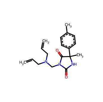 C=CCN(CC=C)CN1C(=O)NC(C)(c2ccc(C)cc2)C1=O